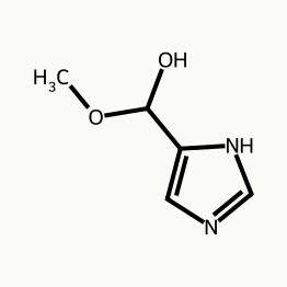 COC(O)c1cnc[nH]1